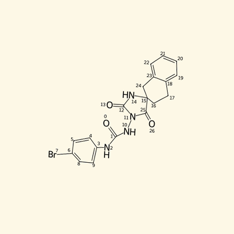 O=C(Nc1ccc(Br)cc1)NN1C(=O)NC2(CCc3ccccc3C2)C1=O